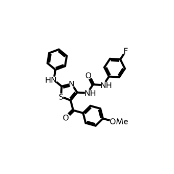 COc1ccc(C(=O)c2sc(Nc3ccccc3)nc2NC(=O)Nc2ccc(F)cc2)cc1